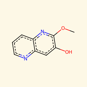 COc1nc2cccnc2cc1O